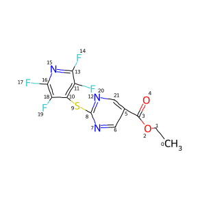 CCOC(=O)c1cnc(Sc2c(F)c(F)nc(F)c2F)nc1